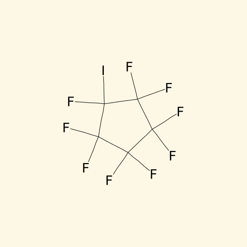 FC1(F)C(F)(F)C(F)(F)C(F)(I)C1(F)F